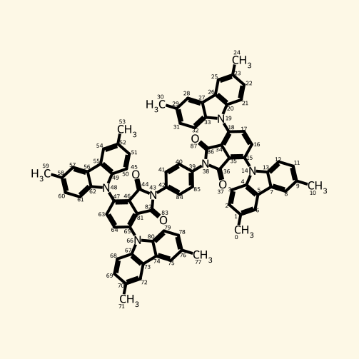 Cc1ccc2c(c1)c1cc(C)ccc1n2-c1ccc(-n2c3ccc(C)cc3c3cc(C)ccc32)c2c1C(=O)N(c1ccc(N3C(=O)c4c(-n5c6ccc(C)cc6c6cc(C)ccc65)ccc(-n5c6ccc(C)cc6c6cc(C)ccc65)c4C3=O)cc1)C2=O